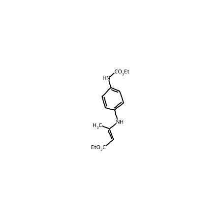 CCOC(=O)/C=C(\C)Nc1ccc(NC(=O)OCC)cc1